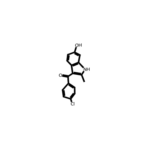 Cc1[nH]c2cc(O)ccc2c1C(=O)c1ccc(Cl)cc1